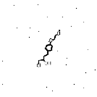 COCCOc1ccc(CCC(O)CCl)cc1